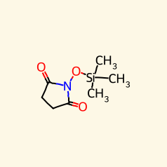 C[Si](C)(C)ON1C(=O)CCC1=O